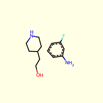 Nc1cccc(F)c1.OCCC1CCNCC1